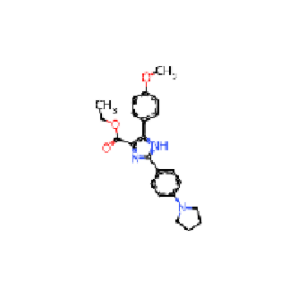 CCOC(=O)c1nc(-c2ccc(N3CCCC3)cc2)[nH]c1-c1ccc(OC)cc1